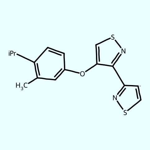 Cc1cc(Oc2csnc2-c2[c]csn2)ccc1C(C)C